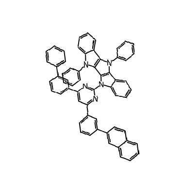 c1ccc(-c2cccc(-c3cc(-c4cccc(-c5ccc6ccccc6c5)c4)nc(-n4c5ccccc5c5c4c4c(c6ccccc6n4-c4ccccc4)n5-c4ccccc4)n3)c2)cc1